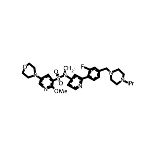 [CH2]N(c1ccnc(-c2ccc(CN3CCN(C(C)C)CC3)cc2F)c1)S(=O)(=O)c1cc(N2CCOCC2)cnc1OC